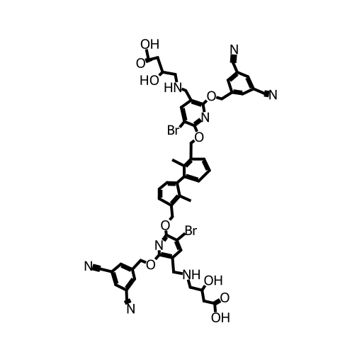 Cc1c(COc2nc(OCc3cc(C#N)cc(C#N)c3)c(CNCC(O)CC(=O)O)cc2Br)cccc1-c1cccc(COc2nc(OCc3cc(C#N)cc(C#N)c3)c(CNCC(O)CC(=O)O)cc2Br)c1C